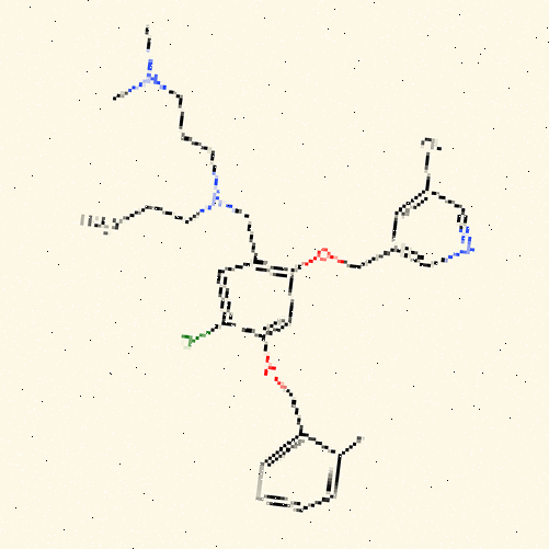 Cc1ccccc1COc1cc(OCc2cncc(C#N)c2)c(CN(CCCN(C)C)CCS(=O)(=O)O)cc1Cl